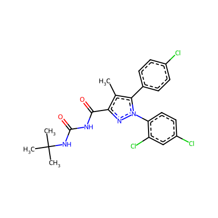 Cc1c(C(=O)NC(=O)NC(C)(C)C)nn(-c2ccc(Cl)cc2Cl)c1-c1ccc(Cl)cc1